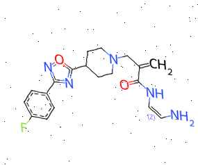 C=C(CN1CCC(c2nc(-c3ccc(F)cc3)no2)CC1)C(=O)N/C=C\N